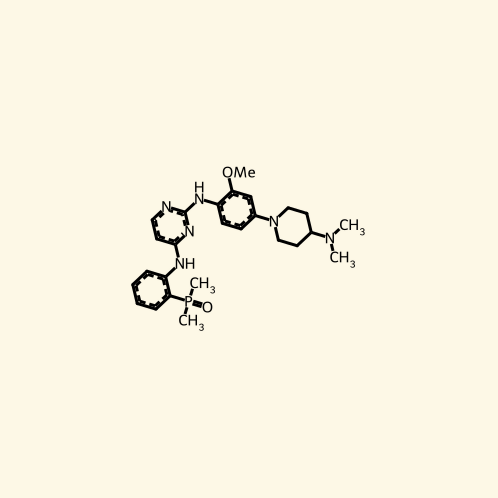 COc1cc(N2CCC(N(C)C)CC2)ccc1Nc1nccc(Nc2ccccc2P(C)(C)=O)n1